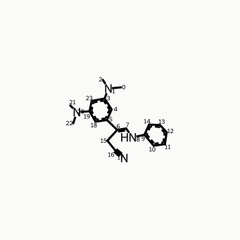 CN(C)c1cc(C(=CNc2ccccc2)CC#N)cc(N(C)C)c1